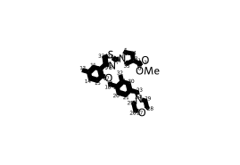 COC(=O)C1CCN(c2nc(-c3cc(C)ccc3OCc3ccc(CN4CCOCC4)cc3C)cs2)C1